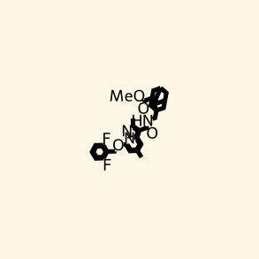 COC(=O)C12CC3CC(CC(CNC(=O)c4c(C)nn5c(OCc6c(F)cccc6F)cc(C)cc45)(C3)C1)C2